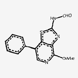 COc1ncc(-c2ccccc2)c2sc(NC=O)nc12